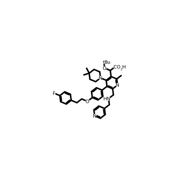 Cc1nc(CNCc2ccncc2)c(-c2ccc(OCCc3ccc(F)cc3)cc2)c(N2CCC(C)(C)CC2)c1C(OC(C)(C)C)C(=O)O